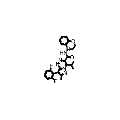 Cc1nn2c(C(C)C)c(C(=O)NN3CCOc4ccccc43)nnc2c1-c1c(F)cccc1F